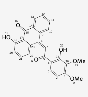 COc1ccc(C(=O)C=C2c3ccccc3C(=O)c3c(O)cccc32)c(O)c1OC